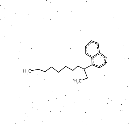 [CH2]CC(CCCCCCCC)c1cccc2ccccc12